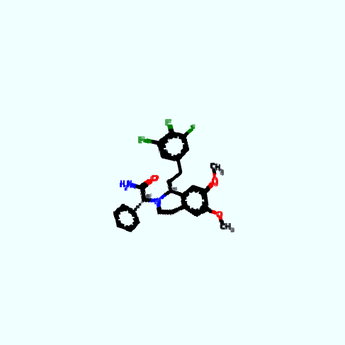 COc1cc2c(cc1OC)[C@H](CCc1cc(F)c(F)c(F)c1)N([C@@H](C(N)=O)c1ccccc1)CC2